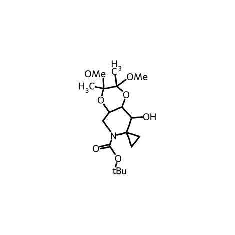 COC1(C)OC2CN(C(=O)OC(C)(C)C)C3(CC3)C(O)C2OC1(C)OC